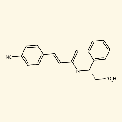 N#Cc1ccc(/C=C/C(=O)N[C@@H](CC(=O)O)c2ccccc2)cc1